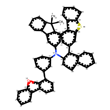 CC1(C)c2ccccc2-c2cc(N(c3cccc(-c4cccc5c4oc4ccccc45)c3)c3ccc4ccccc4c3-c3ccc4c(c3)sc3ccccc34)ccc21